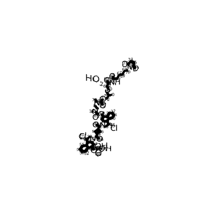 CC(COC(=O)N(C)CCN(C)C(=O)Oc1cc2c(c3ccccc13)[C@H](CCl)CN2C(=O)C12CC(C(=O)N3C[C@@H](CCl)c4c3cc(OP(=O)(O)O)c3ccccc43)(C1)C2)SSCC(NC(=O)CCCCCN1C(=O)C=CC1=O)C(=O)O